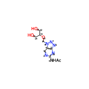 CC(=O)Nc1ncc2c(nnn2COC(CO)CO)n1